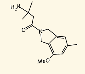 COc1cc(C)cc2c1CN(C(=O)CC(C)(C)N)C2